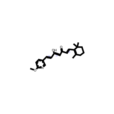 COc1ccc(/C=C/C(O)=C/C(=O)/C=C/C2=C(C)CCCC2(C)C)cn1